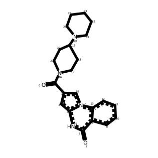 O=C(c1cc2[nH]c(=O)c3ccccc3n2c1)N1CCC(N2CCCCC2)CC1